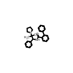 CC(C)(C(NC(=O)c1ccccc1-c1ccccc1)c1ccccc1)N1CCCC1